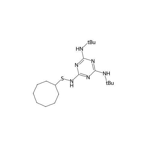 CC(C)(C)Nc1nc(NSC2CCCCCCC2)nc(NC(C)(C)C)n1